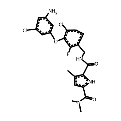 Cc1cc(C(=O)N(C)C)[nH]c1C(=O)NCc1ccc(Cl)c(Oc2cc(N)cc(Cl)c2)c1F